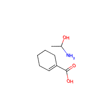 CC(N)O.O=C(O)C1=CCCCC1